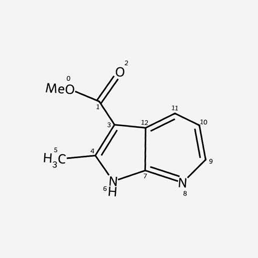 COC(=O)c1c(C)[nH]c2ncccc12